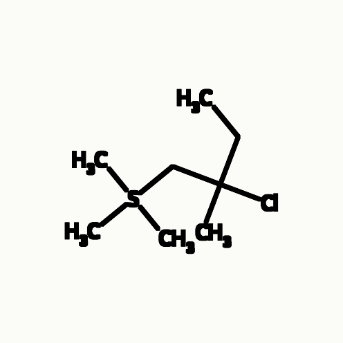 CCC(C)(Cl)CS(C)(C)C